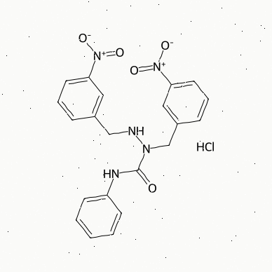 Cl.O=C(Nc1ccccc1)N(Cc1cccc([N+](=O)[O-])c1)NCc1cccc([N+](=O)[O-])c1